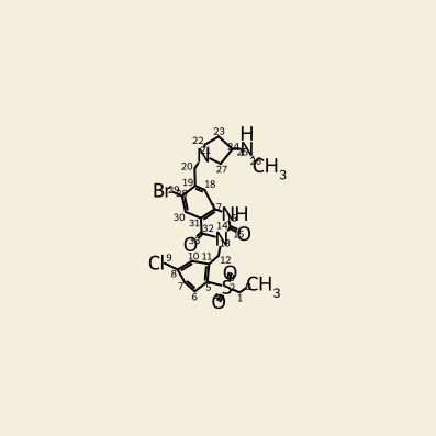 CCS(=O)(=O)c1ccc(Cl)cc1Cn1c(=O)[nH]c2cc(CN3CCC(NC)C3)c(Br)cc2c1=O